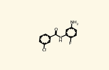 Nc1ccc(F)c(NC(=O)c2cccc(Cl)c2)c1